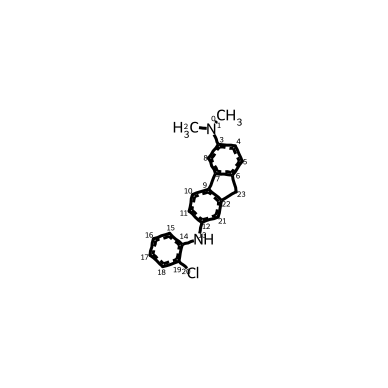 CN(C)c1ccc2c(c1)-c1ccc(Nc3ccccc3Cl)cc1C2